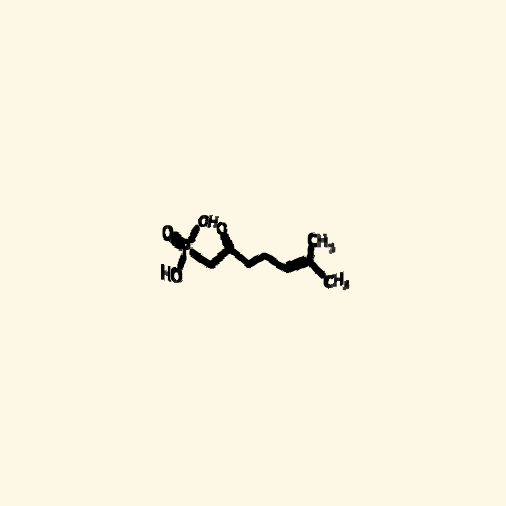 CC(C)=CCCC(=O)CP(=O)(O)O